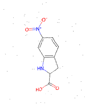 O=C(O)C1Cc2ccc([N+](=O)[O-])cc2N1